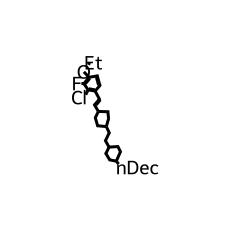 CCCCCCCCCCC1CCC(CCC2CCC(/C=C/c3ccc(OCC)c(F)c3Cl)CC2)CC1